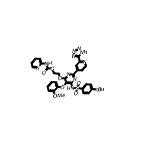 COc1ccccc1Oc1c(NS(=O)(=O)c2ccc(C(C)(C)C)cc2)nc(-c2ccnc(-c3nnn[nH]3)c2)nc1OCCOC(=O)Nc1ccccn1